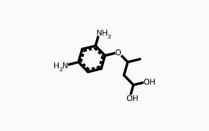 CC(CC(O)O)Oc1ccc(N)cc1N